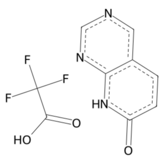 O=C(O)C(F)(F)F.O=c1ccc2cncnc2[nH]1